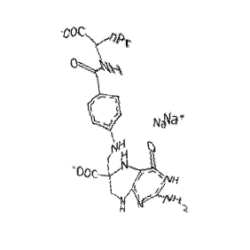 CCCC(NC(=O)c1ccc(NCC2(C(=O)[O-])CNc3nc(N)[nH]c(=O)c3N2)cc1)C(=O)[O-].[Na+].[Na+]